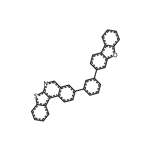 c1cc(-c2ccc3c(cnc4sc5ccccc5c43)c2)cc(-c2ccc3c(c2)oc2ccccc23)c1